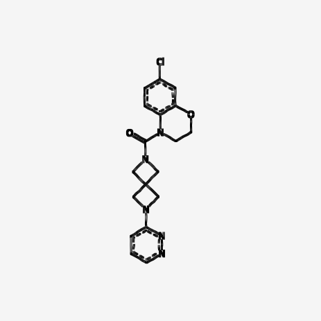 O=C(N1CC2(C1)CN(c1cccnn1)C2)N1CCOc2cc(Cl)ccc21